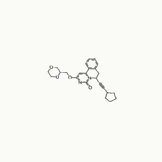 O=c1nc(OCC2COCCO2)cc2n1C(C#CC1CCCC1)Cc1ccccc1-2